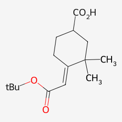 CC(C)(C)OC(=O)C=C1CCC(C(=O)O)CC1(C)C